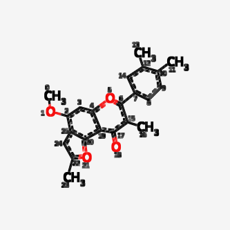 COc1cc2oc(-c3ccc(C)c(C)c3)c(C)c(=O)c2c2oc(C)cc12